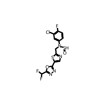 O=[SH]N(Cc1ncc(-c2nnc(C(F)F)o2)s1)c1ccc(F)c(Cl)c1